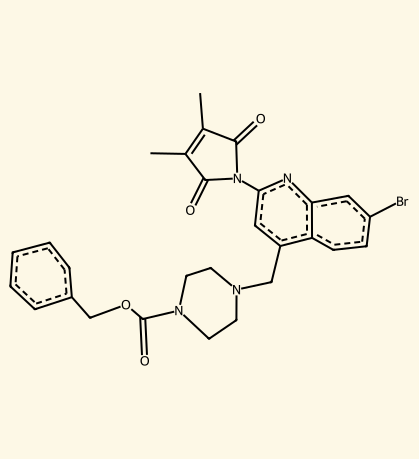 CC1=C(C)C(=O)N(c2cc(CN3CCN(C(=O)OCc4ccccc4)CC3)c3ccc(Br)cc3n2)C1=O